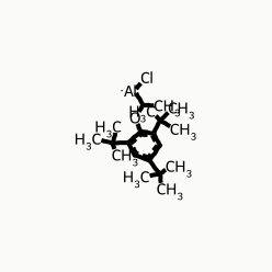 C[CH](Oc1c(C(C)(C)C)cc(C(C)(C)C)cc1C(C)(C)C)[Al][Cl]